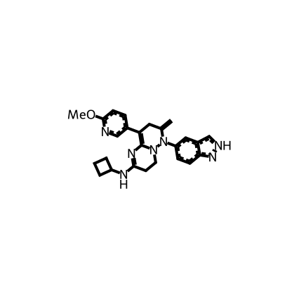 C=C1CC(c2ccc(OC)nc2)=C2N=C(NC3CCC3)CCN2N1c1ccc2n[nH]cc2c1